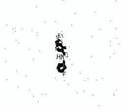 CCSc1cc2ncc(C(=O)NCc3cccc(F)c3)c(C)c2s1